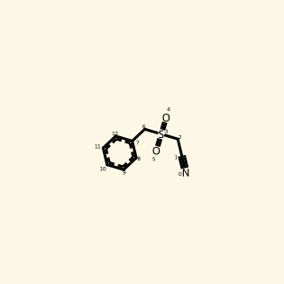 N#CCS(=O)(=O)Cc1ccccc1